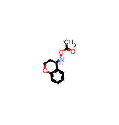 CC(=O)O/N=C1\CCOc2c[c]ccc21